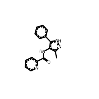 Cc1n[nH]c(-c2ccccc2)c1NC(=O)c1ccccn1